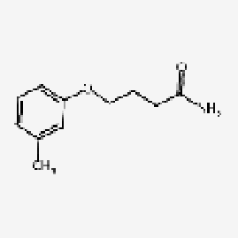 Cc1cccc(OCCCC(N)=O)c1